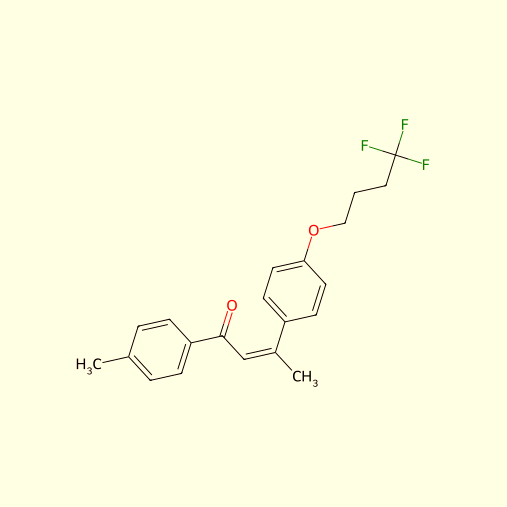 CC(=CC(=O)c1ccc(C)cc1)c1ccc(OCCCC(F)(F)F)cc1